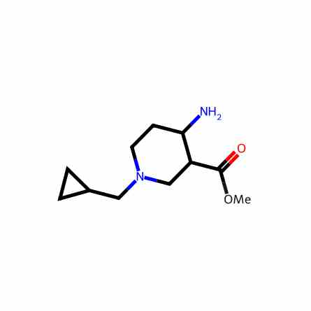 COC(=O)C1CN(CC2CC2)CCC1N